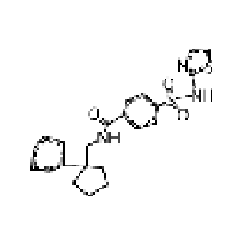 O=C(NCC1(c2ccccc2)CCCC1)c1ccc(S(=O)(=O)Nc2nccs2)cc1